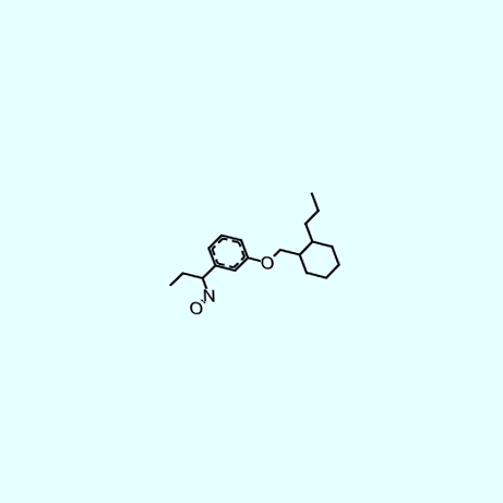 CCCC1CCCCC1COc1cccc(C(CC)N=O)c1